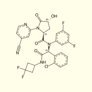 N#Cc1ccnc(N2C(=O)[C@H](O)C[C@H]2C(=O)N(c2cc(F)cc(F)c2)[C@H](C(=O)NC2CC(F)(F)C2)c2ccccc2Cl)c1